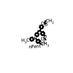 C=CC(=O)Oc1ccc(C(=Cc2ccc(N(c3ccc(C)cc3)c3ccc(C(C)CCCCC)cc3)cc2)c2ccc(OC(=O)C=C)cc2)cc1